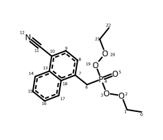 CCOOP(=O)(Cc1ccc(C#N)c2ccccc12)OOCC